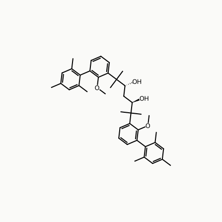 COc1c(-c2c(C)cc(C)cc2C)cccc1C(C)(C)[C@H](O)C[C@@H](O)C(C)(C)c1cccc(-c2c(C)cc(C)cc2C)c1OC